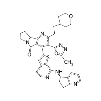 Cc1nnc(-c2c(CCC3CCOCC3)nc3c(c2-c2cc4ccnc(N[C@@H]5CCc6ncccc65)c4s2)C(=O)N2CCCC32)o1